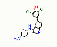 N[C@H]1CC[C@H](Nc2[c]cnc3ccc(-c4cc(Cl)c(O)c(Cl)c4)cc23)CC1